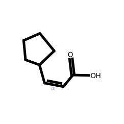 O=C(O)/C=C\C1CCCC1